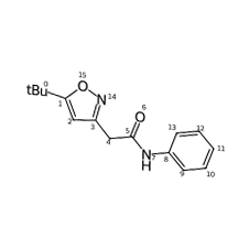 CC(C)(C)c1cc(CC(=O)Nc2ccccc2)no1